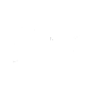 SC1CCCC(N2CCOCC2)C1